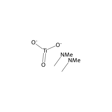 C[NH2+]C.C[NH2+]C.[O]=[Ti]([O-])[O-]